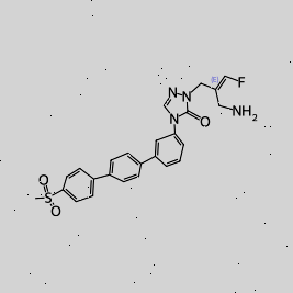 CS(=O)(=O)c1ccc(-c2ccc(-c3cccc(-n4cnn(C/C(=C/F)CN)c4=O)c3)cc2)cc1